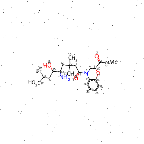 CNC(=O)[C@@H]1CN(C(=O)CC(C)(C)CC(N)C(O)CC(C(=O)O)C(C)C)c2ccccc2O1